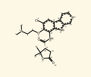 CN(C)CCOc1c(Cl)cc2c([nH]c3cnccc32)c1NC(=O)[C@@H]1CC(=O)OC1(C)C